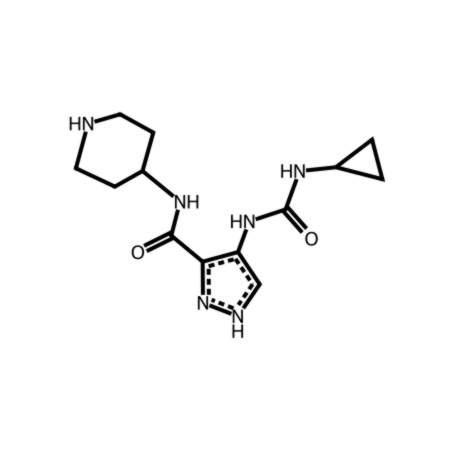 O=C(Nc1c[nH]nc1C(=O)NC1CCNCC1)NC1CC1